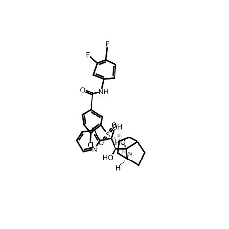 O=C(Nc1ccc(F)c(F)c1)c1ccc(Cl)c(S(=O)(=O)[C@@H]2CC3CC[C@@H](C2)[C@@]3(O)C(O)C(O)c2ncccn2)c1